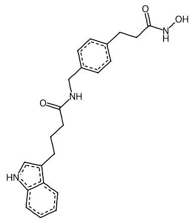 O=C(CCc1ccc(CNC(=O)CCCc2c[nH]c3ccccc23)cc1)NO